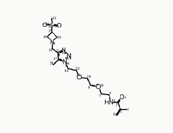 C=C(C)C(=O)NCCOCCOCCn1nnc(CN2CC(S(C)(=O)=O)C2)c1C